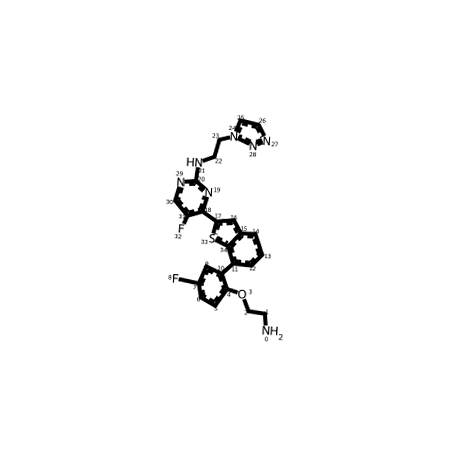 NCCOc1ccc(F)cc1-c1cccc2cc(-c3nc(NCCn4ccnn4)ncc3F)sc12